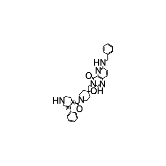 O=C([C@@H]1CCNC[C@H]1c1ccccc1)N1CCC(O)(Cn2cnc3ccc(NCc4ccccc4)nc3c2=O)CC1